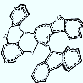 c1ccc2c(c1)oc1cc3c(c(-n4c5ccccc5c5ccccc54)c12)Oc1cncc2c1B3c1ccncc1O2